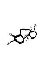 CC(C)N1CCC[C@H]2c3ccc(O)c(O)c3CC[C@@H]21